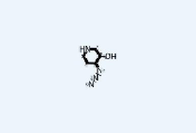 [N-]=[N+]=NC1CCNC[C@H]1O